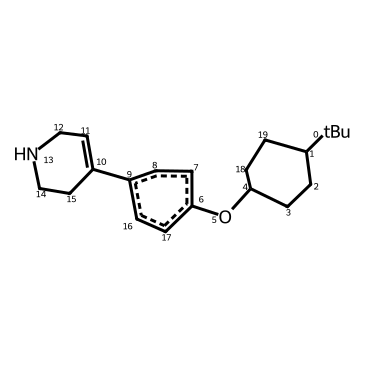 CC(C)(C)C1CCC(Oc2ccc(C3=CCNCC3)cc2)CC1